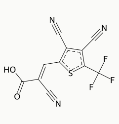 N#C/C(=C\c1sc(C(F)(F)F)c(C#N)c1C#N)C(=O)O